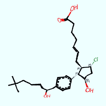 CC(C)(C)CCCC(O)c1ccc([C@@H]2[C@@H](CC=CCCCC(=O)O)[C@H](Cl)C[C@H]2O)cc1